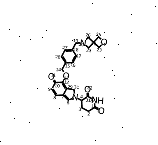 O=C1CCC(N2C=C3C=CC(=O)C(OCc4ccc(CN5CC6(COC6)C5)cc4)=C3C2)C(=O)N1